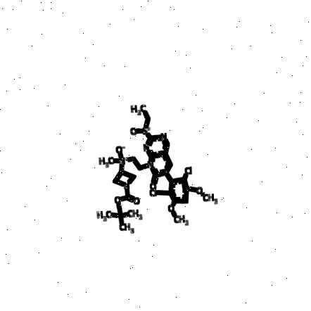 CC[S+]([O-])c1ncc2cc(-c3c(Cl)c(OC)cc(OC)c3Cl)c(=O)n(CC[N+](C)([O-])C3CN(C(=O)OC(C)(C)C)C3)c2n1